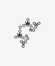 N#Cc1cc(-c2nc(-c3ccccc3)nc(-c3ccc(-c4cccc(-c5ccc(-c6nc(-c7ccccc7)nc(-c7ccc(C8c9ccccc9-c9ccc%10c(c98)c8ccccc8n%10-c8ccccc8)c(C#N)c7)n6)cc5)c4)cc3)n2)ccc1C1c2ccccc2-c2ccc3c(c21)c1ccccc1n3-c1ccccc1